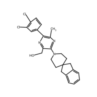 Cc1nc(N2CCC3(CC2)Cc2ccccc2C3)c(CO)nc1-c1ccc(Cl)c(Cl)c1